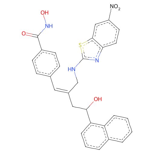 O=C(NO)c1ccc(C=C(CNc2nc3ccc([N+](=O)[O-])cc3s2)CC(O)c2cccc3ccccc23)cc1